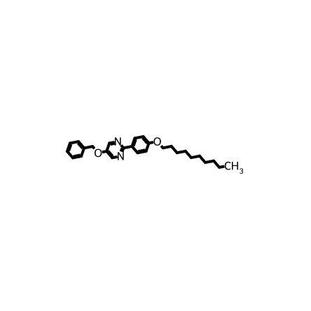 CCCCCCCCCCOc1ccc(-c2ncc(OCc3ccccc3)cn2)cc1